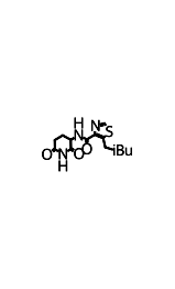 CCC(C)Cc1scnc1C(=O)NC1CCC(=O)NC1=O